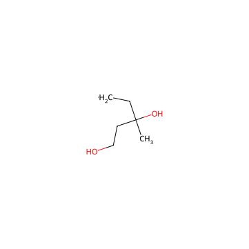 [CH2]CC(C)(O)CCO